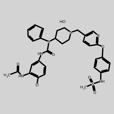 CC(=O)Nc1cc(NC(=O)N(c2ccccc2)C2CCN(Cc3ccc(Oc4ccc(NS(C)(=O)=O)cc4)nc3)CC2)ccc1Cl.Cl